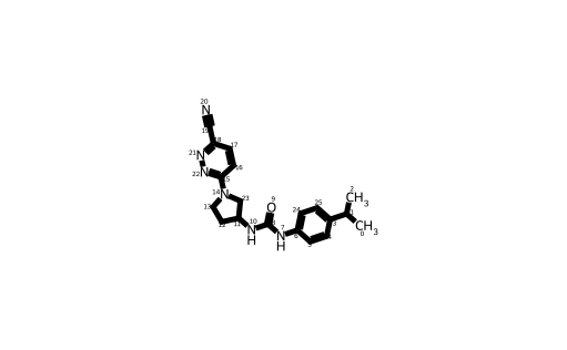 CC(C)c1ccc(NC(=O)NC2CCN(c3ccc(C#N)nn3)C2)cc1